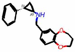 c1ccc([C@@H]2C[C@H]2NCc2ccc3c(c2)OCCCO3)cc1